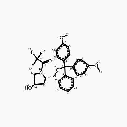 COc1ccc(C(OC[C@@H]2C[C@@H](O)CN2C(=O)C(F)(F)F)(c2ccccc2)c2ccc(OC)cc2)cc1